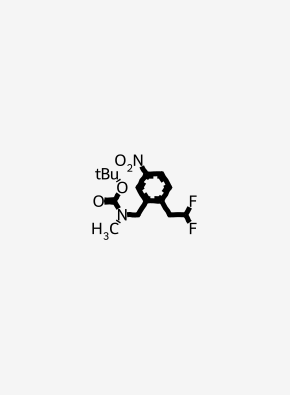 CN(Cc1cc([N+](=O)[O-])ccc1CC(F)F)C(=O)OC(C)(C)C